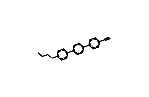 CCCOc1ccc(-c2ccc(-c3ccc(C#N)cc3)cc2)cc1